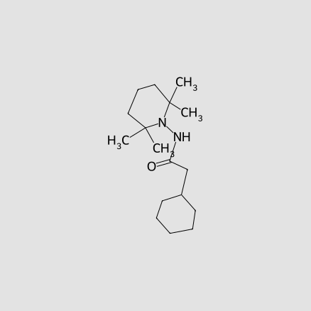 CC1(C)CCCC(C)(C)N1NC(=O)CC1CCCCC1